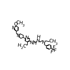 C=Cc1cc(C2CCN(Cc3ccc(OC)nc3)CC2)ncc1NCCNCCN(CCC)Cc1ccc(C(F)(F)F)cc1